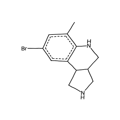 Cc1cc(Br)cc2c1NCC1CNCC21